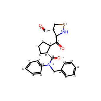 O=C[C@@H]1CSNC1C(=O)C1CCC[C@H]1C(=O)N(Cc1ccccc1)c1ccccc1